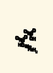 [Mn].[O]=[Nb](=[O])[OH].[O]=[Nb](=[O])[OH].[PbH2]